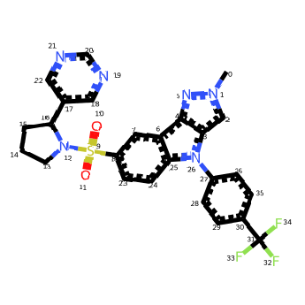 Cn1cc2c(n1)c1cc(S(=O)(=O)N3CCCC3c3cncnc3)ccc1n2-c1ccc(C(F)(F)F)cc1